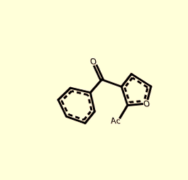 CC(=O)c1occc1C(=O)c1ccccc1